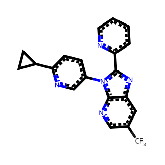 FC(F)(F)c1cnc2c(c1)nc(-c1ccccn1)n2-c1ccc(C2CC2)nc1